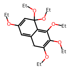 CCOC1=CC(OCC)(OCC)C2=C(OCC)C(OCC)=C(OCC)[CH]C2=C1